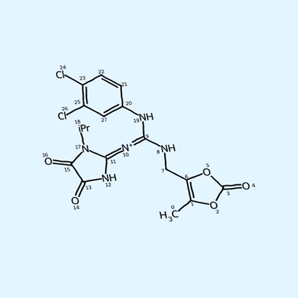 Cc1oc(=O)oc1CNC(=[N+]=C1NC(=O)C(=O)N1C(C)C)Nc1ccc(Cl)c(Cl)c1